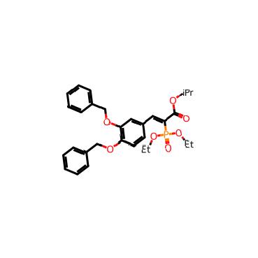 CCOP(=O)(OCC)C(=Cc1ccc(OCc2ccccc2)c(OCc2ccccc2)c1)C(=O)OC(C)C